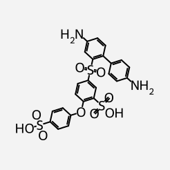 Nc1ccc(-c2ccc(N)cc2S(=O)(=O)c2ccc(Oc3ccc(S(=O)(=O)O)cc3)c(S(=O)(=O)O)c2)cc1